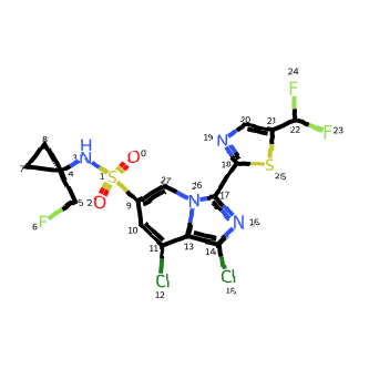 O=S(=O)(NC1(CF)CC1)c1cc(Cl)c2c(Cl)nc(-c3ncc(C(F)F)s3)n2c1